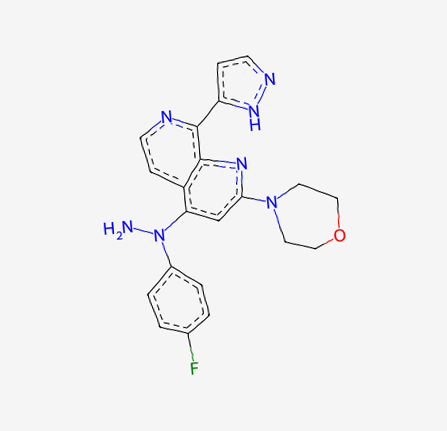 NN(c1ccc(F)cc1)c1cc(N2CCOCC2)nc2c(-c3ccn[nH]3)nccc12